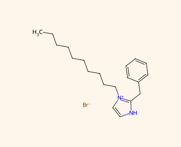 CCCCCCCCCC[n+]1cc[nH]c1Cc1ccccc1.[Br-]